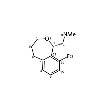 CNC[C@H]1OCCCc2cccc(F)c21